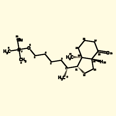 C[C@H](CCCCO[Si](C)(C)C(C)(C)C)[C@H]1CC[C@H]2C(=O)CCC[C@]12C